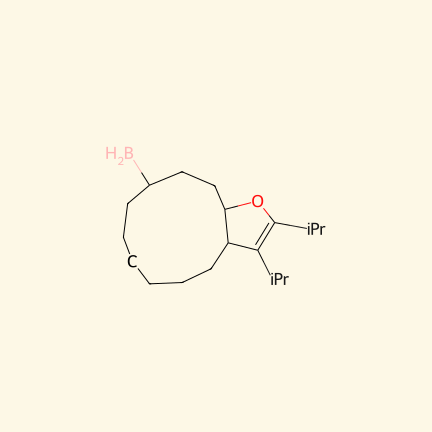 BC1CCCCCCC2C(C(C)C)=C(C(C)C)OC2CC1